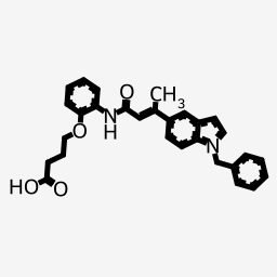 C/C(=C\C(=O)Nc1ccccc1OCCCC(=O)O)c1ccc2c(ccn2Cc2ccccc2)c1